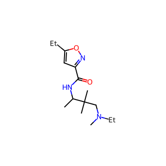 CCc1cc(C(=O)NC(C)C(C)(C)CN(C)CC)no1